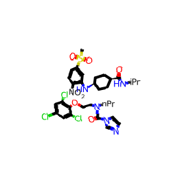 CC(C)NC(=O)[C@H]1CC[C@@H](Nc2cc(S(C)(=O)=O)ccc2[N+](=O)[O-])CC1.CCCN(CCOc1c(Cl)cc(Cl)cc1Cl)C(=O)n1ccnc1